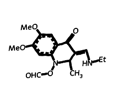 CCNC=C1C(=O)c2cc(OC)c(OC)cc2N(OC=O)C1C